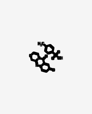 Cc1ccc(S(=O)(=O)O)cc1.O=c1ccn2nc3n(c(=O)c2c1)C=COC3